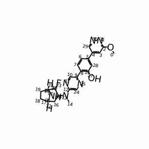 COc1cc(-c2ccc(-c3cnc(N(C)[C@H]4C[C@@H]5CC[C@@H](N5)[C@H]4F)cn3)c(O)c2)cnn1